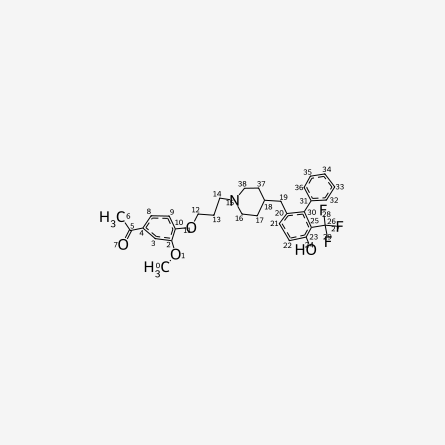 COc1cc(C(C)=O)ccc1OCCCN1CCC(Cc2ccc(O)c(C(F)(F)F)c2-c2ccccc2)CC1